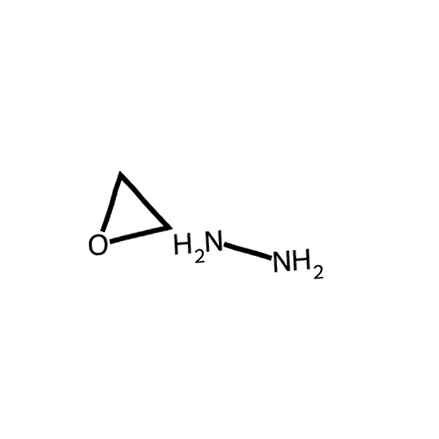 C1CO1.NN